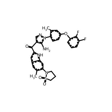 Cc1cc2cc(C(=O)c3cnn(-c4ccc(Oc5cccc(F)c5F)cc4C)c3N)[nH]c2cc1N1CCCS1(=O)=O